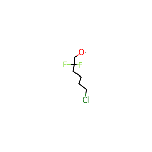 [O]CC(F)(F)CCCCCl